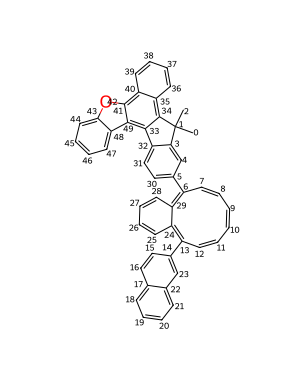 CC1(C)c2cc(-c3ccccccc(-c4ccc5ccccc5c4)c4ccccc34)ccc2-c2c1c1ccccc1c1oc3ccccc3c21